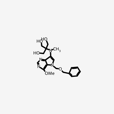 COc1ncnc2c(N(C)C(CO)(CO)CO)cn(COCc3ccccc3)c12